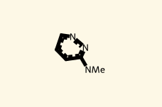 [CH2]Nc1cccnn1